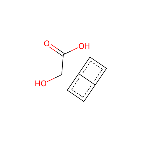 O=C(O)CO.c1cc2ccc1-2